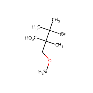 CC(C)(C)C(C)(C)C(C)(CO[SiH3])C(=O)O